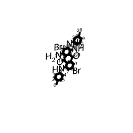 Cc1ccc(Nc2cc(Br)cc3c2C(=O)c2c(N)c(Br)c(N)c(Nc4ccc(C)cc4)c2C3=O)cc1